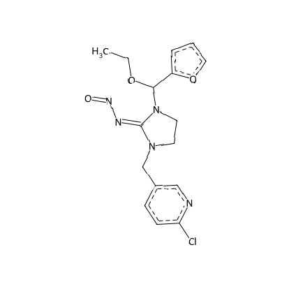 CCOC(c1ccco1)N1CCN(Cc2ccc(Cl)nc2)C1=NN=O